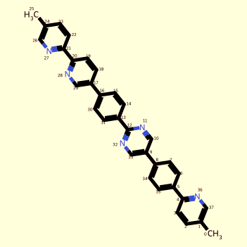 Cc1ccc(-c2ccc(-c3cnc(-c4ccc(-c5ccc(-c6ccc(C)cn6)nc5)cc4)nc3)cc2)nc1